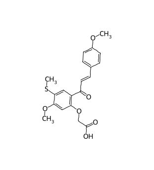 COc1ccc(/C=C/C(=O)c2cc(SC)c(OC)cc2OCC(=O)O)cc1